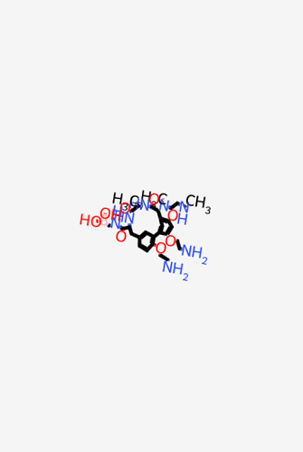 CNCC(=O)N(C)C1C(=O)N[C@@H](C)C(=O)NC(C(=O)NCB(O)O)Cc2ccc(OCCN)c(c2)-c2cc1ccc2OCCN